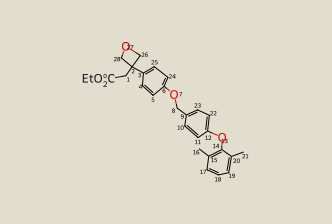 CCOC(=O)CC1(c2ccc(OCc3ccc(Oc4c(C)cccc4C)cc3)cc2)COC1